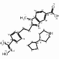 C1CCC(N2CCNCC2)C1.Cn1c(CCc2ccc(C(N)=NO)cc2)nc2cc(C(=O)O)ccc21